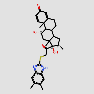 Cc1cc2nc(SCC(=O)[C@@]3(O)[C@H](C)CC4C5CCC6=CC(=O)C=CC6(C)C5[C@@H](O)CC43C)[nH]c2cc1C